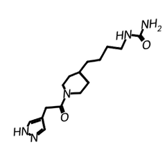 NC(=O)NCCCCC1CCN(C(=O)Cc2cn[nH]c2)CC1